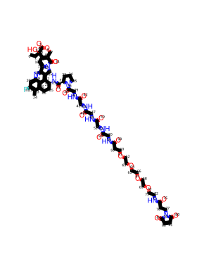 CC[C@]1(O)C(=O)OCc2c1cc1n(c2=O)Cc2c-1nc1cc(F)c(C)c3c1c2[C@H](NC(=O)[C@H]1CCCN1C(=O)CNC(=O)CNC(=O)CNC(=O)CNC(=O)CNC(=O)CCOCCOCCOCCOCCNC(=O)CCN1C(=O)C=CC1=O)CC3